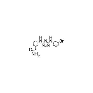 NC(=O)Cc1cccc(Nc2ncnc(Nc3cccc(Br)c3)n2)c1